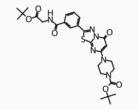 CC(C)(C)OC(=O)CNC(=O)c1cccc(-c2nn3c(=O)cc(N4CCN(C(=O)OC(C)(C)C)CC4)nc3s2)c1